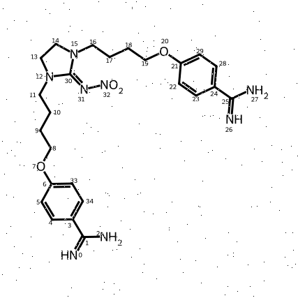 N=C(N)c1ccc(OCCCCN2CCN(CCCCOc3ccc(C(=N)N)cc3)C2=N[N+](=O)[O-])cc1